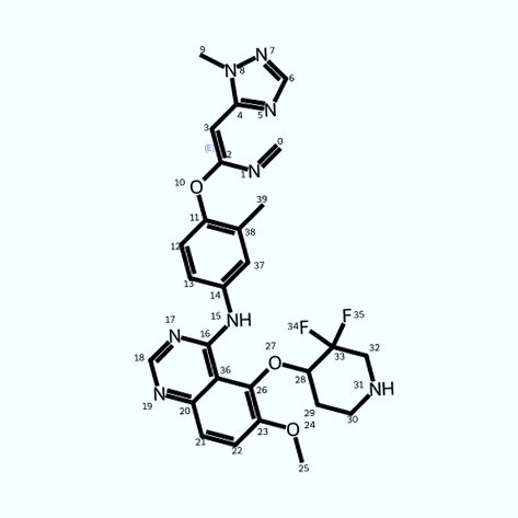 C=N/C(=C\c1ncnn1C)Oc1ccc(Nc2ncnc3ccc(OC)c(OC4CCNCC4(F)F)c23)cc1C